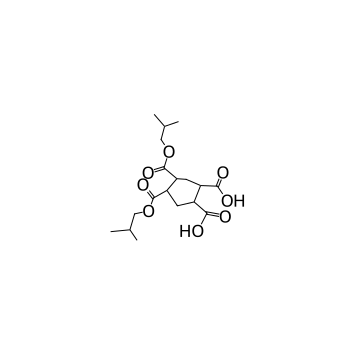 CC(C)COC(=O)C1CC(C(=O)O)C(C(=O)O)CC1C(=O)OCC(C)C